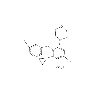 CC1=C(C(=O)O)C(C2CC2)N(Cc2cccc(F)c2)C(N2CCOCC2)=C1